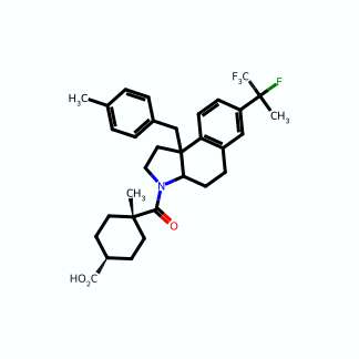 Cc1ccc(CC23CCN(C(=O)[C@]4(C)CC[C@@H](C(=O)O)CC4)C2CCc2cc(C(C)(F)C(F)(F)F)ccc23)cc1